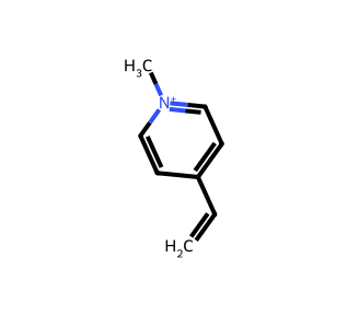 C=Cc1cc[n+](C)cc1